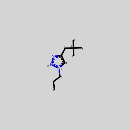 CCCn1cc(CC(C)(C)C)nn1